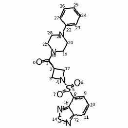 O=C(C1CN(S(=O)(=O)c2cccc3nsnc23)C1)N1CCN(c2ccccc2)CC1